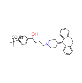 CCOC(=O)C(C)(C)c1ccc(C(O)CCCN2CCC(=C3c4ccccc4CCc4ccccc43)CC2)cc1